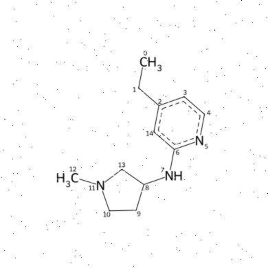 CCc1ccnc(NC2CCN(C)C2)c1